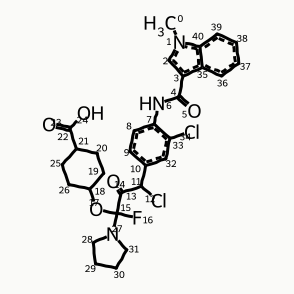 Cn1cc(C(=O)Nc2ccc(C(Cl)C(=O)C(F)(OC3CCC(C(=O)O)CC3)N3CCCC3)cc2Cl)c2ccccc21